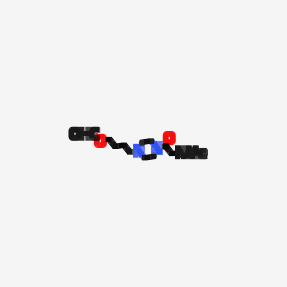 CNCC(=O)N1CCN(CCCCOC=O)CC1